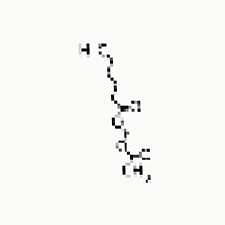 CCCCCC(=O)OCOC(C)=O